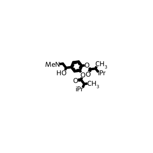 CNCC(O)c1ccc(OC(=O)C(C)C(C)C)c(OC(=O)C(C)C(C)C)c1